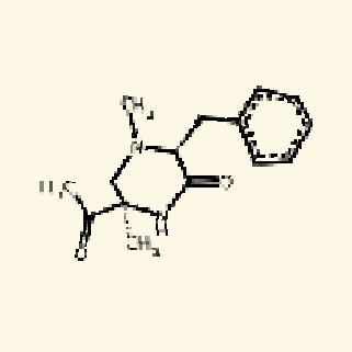 CC(=O)[C@@]1(C)CN(C)[C@@H](Cc2ccccc2)C(=O)N1